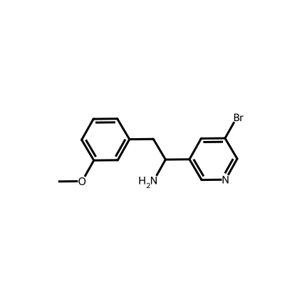 COc1cccc(CC(N)c2cncc(Br)c2)c1